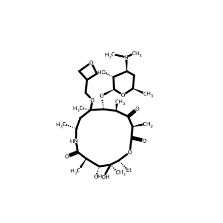 CC[C@H]1OC(=O)[C@H](C)C(=O)[C@H](C)[C@@H](O[C@@H]2O[C@H](C)C[C@H](N(C)C)[C@H]2O)[C@](C)(OCC2COC2)C[C@@H](C)NC(=O)[C@H](C)[C@@H](O)[C@]1(C)O